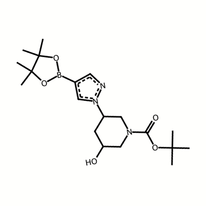 CC(C)(C)OC(=O)N1CC(O)CC(n2cc(B3OC(C)(C)C(C)(C)O3)cn2)C1